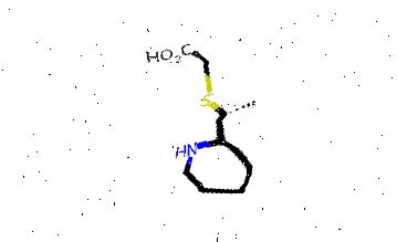 C[C@@H](SCC(=O)O)C1CCCCN1